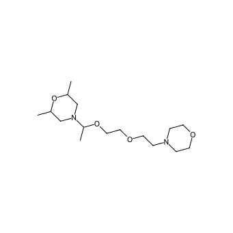 CC1CN(C(C)OCCOCCN2CCOCC2)CC(C)O1